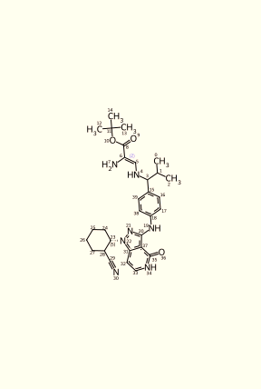 CC(C)C(N/C=C(\N)C(=O)OC(C)(C)C)c1ccc(Nc2nn([C@H]3CCCCC3C#N)c3cc[nH]c(=O)c23)cc1